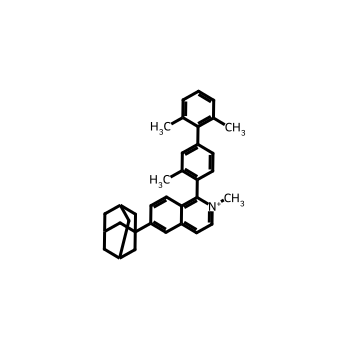 Cc1cc(-c2c(C)cccc2C)ccc1-c1c2ccc(C34CC5CC(CC(C5)C3)C4)cc2cc[n+]1C